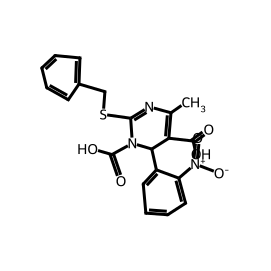 CC1=C(C(=O)O)C(c2ccccc2[N+](=O)[O-])N(C(=O)O)C(SCc2ccccc2)=N1